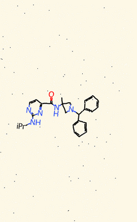 CC(C)Nc1nccc(C(=O)NC2(C)CN(C(c3ccccc3)c3ccccc3)C2)n1